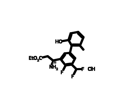 CCOC(=O)C[C@H](N)c1cc(-c2c(C)cccc2O)cc(C(F)F)c1F.Cl